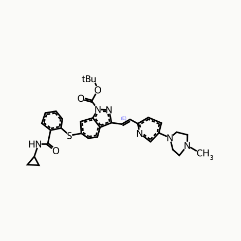 CN1CCN(c2ccc(/C=C/c3nn(C(=O)OC(C)(C)C)c4cc(Sc5ccccc5C(=O)NC5CC5)ccc34)nc2)CC1